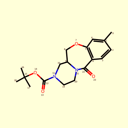 Cc1ccc2c(c1)OCC1CN(C(=O)OC(C)(C)C)CCN1C2=O